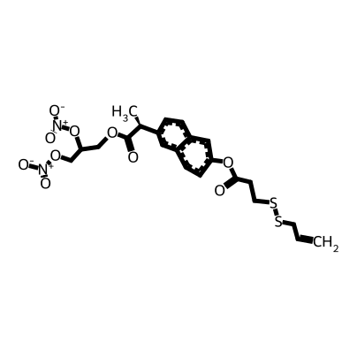 C=CCSSCCC(=O)Oc1ccc2cc([C@H](C)C(=O)OCC(CO[N+](=O)[O-])O[N+](=O)[O-])ccc2c1